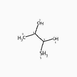 CC(O)C(O)[SiH3]